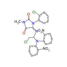 CN1C(=O)C(=NC(CCl)N(c2ccccc2[N+](=O)[O-])c2ccccc2[N+](=O)[O-])N(c2ccccc2Cl)C1=O